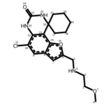 COCCNCc1cc2cc(Cl)c3c(c2o1)C1(CCCCC1)NC(=O)N3